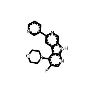 Fc1cnc2[nH]c3cnc(-c4cccnc4)cc3c2c1N1CCOCC1